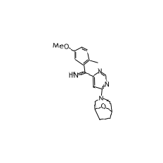 COc1ccc(C)c(C(=N)c2cc(N3CC4CCC(C3)O4)ncn2)c1